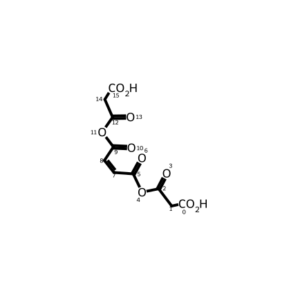 O=C(O)CC(=O)OC(=O)/C=C\C(=O)OC(=O)CC(=O)O